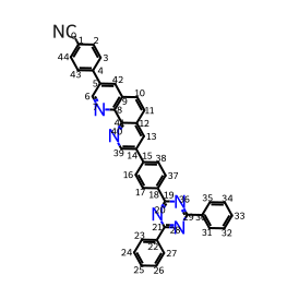 N#Cc1ccc(-c2cnc3c(ccc4cc(-c5ccc(-c6nc(-c7ccccc7)nc(-c7ccccc7)n6)cc5)cnc43)c2)cc1